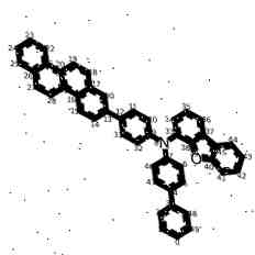 c1ccc(-c2ccc(N(c3ccc(-c4ccc5c(ccc6c7ccccc7ccc56)c4)cc3)c3cccc4c3oc3ccccc34)cc2)cc1